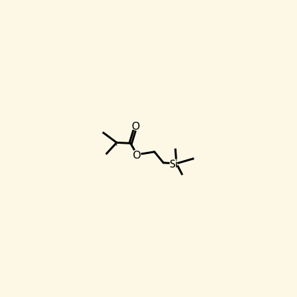 C[C](C)C(=O)OCC[Si](C)(C)C